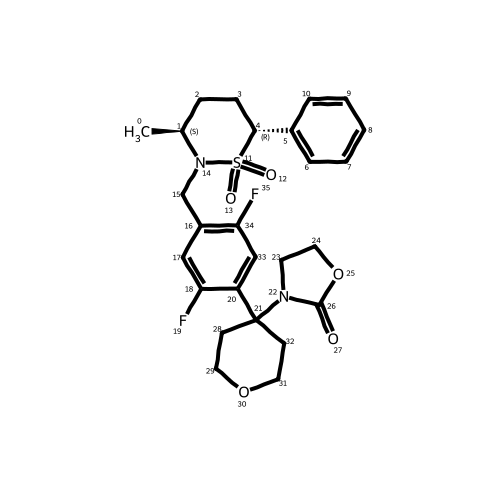 C[C@H]1CC[C@H](c2ccccc2)S(=O)(=O)N1Cc1cc(F)c(C2(N3CCOC3=O)CCOCC2)cc1F